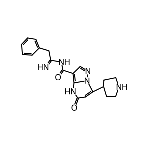 N=C(Cc1ccccc1)NC(=O)c1cnn2c(C3CCNCC3)cc(=O)[nH]c12